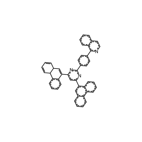 C1=CC2C=C(c3cc(-c4cc5ccccc5c5ccccc45)nc(-c4ccc(-c5nccc6ccccc56)cc4)n3)c3ccccc3C2C=C1